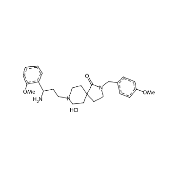 COc1ccc(CN2CCC3(CCN(CCC(N)c4ccccc4OC)CC3)C2=O)cc1.Cl